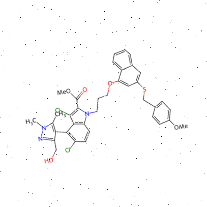 COC(=O)c1c(Cl)c2c(-c3c(CO)nn(C)c3C)c(Cl)ccc2n1CCCOc1cc(SCc2ccc(OC)cc2)cc2ccccc12